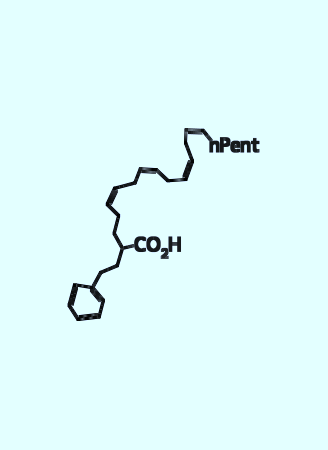 CCCCC/C=C\C/C=C\C/C=C\C/C=C\CCC(CCc1ccccc1)C(=O)O